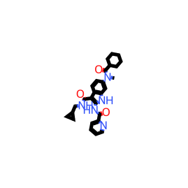 CN(C(=O)C1CCCCC1)c1ccc2c(C(=O)NCC3CC3)c(NC(=O)c3ccccn3)[nH]c2c1